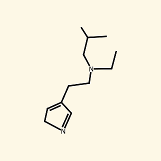 CCN(CCC1=CCN=C1)CC(C)C